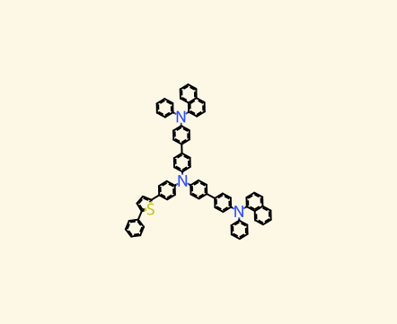 c1ccc(-c2ccc(-c3ccc(N(c4ccc(-c5ccc(N(c6ccccc6)c6cccc7ccccc67)cc5)cc4)c4ccc(-c5ccc(N(c6ccccc6)c6cccc7ccccc67)cc5)cc4)cc3)s2)cc1